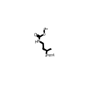 CCCC(C)C(C)CCNC(=O)OC(C)(C)C